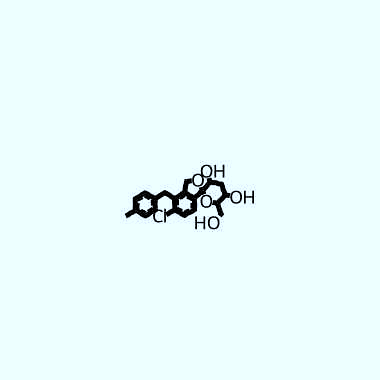 Cc1ccc(Cc2c(Cl)ccc3c2COC32OC(CO)C(O)CC2O)cc1